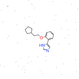 c1ccc(-c2cnc[nH]2)c(OCCC2CCCC2)c1